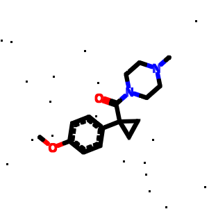 COc1ccc(C2(C(=O)N3CCN(C)CC3)CC2)cc1